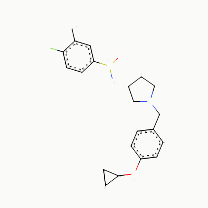 N#Cc1cc([S+]([O-])N[C@@H]2CCN(Cc3ccc(OC4CC4)cc3)C2)ccc1F